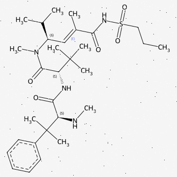 CCCS(=O)(=O)NC(=O)/C(C)=C/[C@H](C(C)C)N(C)C(=O)[C@@H](NC(=O)[C@@H](NC)C(C)(C)c1ccccc1)C(C)(C)C